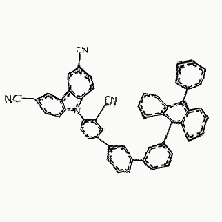 N#Cc1ccc2c(c1)c1cc(C#N)ccc1n2-c1ccc(-c2cccc(-c3cccc(-c4c5ccccc5c(-c5ccccc5)c5ccccc45)c3)c2)cc1C#N